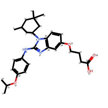 CC1CC(n2c(Nc3ccc(OC(C)C)cc3)nc3cc(OCCCC(=O)O)ccc32)CC(C)(C)C1